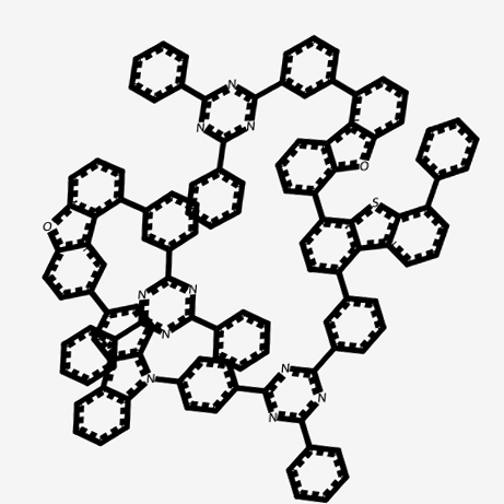 c1ccc(-c2nc(-c3ccccc3)nc(-c3cccc(-c4cccc5oc6ccc(-c7ccc8c(c7)c7ccccc7n8-c7ccc(-c8nc(-c9ccccc9)nc(-c9cccc(-c%10ccc(-c%11cccc%12c%11oc%11cccc(-c%13cccc(-c%14nc(-c%15ccccc%15)nc(-c%15ccccc%15)n%14)c%13)c%11%12)c%11sc%12c(-c%13ccccc%13)cccc%12c%10%11)c9)n8)cc7)cc6c45)c3)n2)cc1